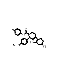 COc1ccc(C2c3[nH]c4cc(Cl)ccc4c3CCN2C(=O)Oc2ccc(F)cc2)cc1